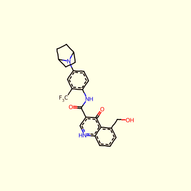 O=C(Nc1ccc(N2C3CCC2CC3)cc1C(F)(F)F)c1c[nH]c2cccc(CO)c2c1=O